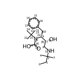 CCC(C)(C)NC[C@@H](O)[C@H](Cc1ccccc1)N(C(=O)O)C(C)(C)C